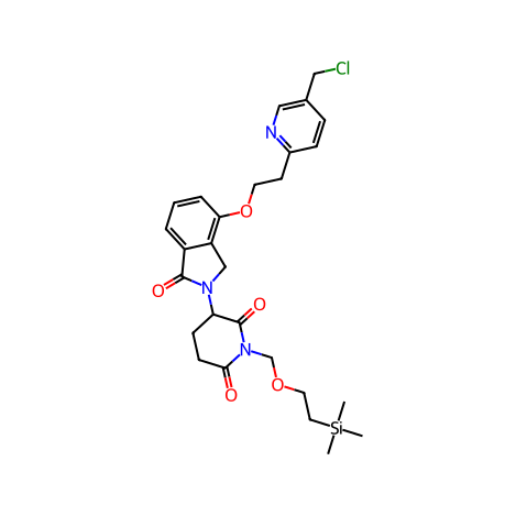 C[Si](C)(C)CCOCN1C(=O)CCC(N2Cc3c(OCCc4ccc(CCl)cn4)cccc3C2=O)C1=O